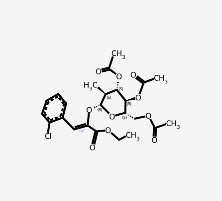 CCOC(=O)/C(=C/c1ccccc1Cl)O[C@H]1O[C@@H](COC(C)=O)[C@H](OC(C)=O)[C@@H](OC(C)=O)[C@@H]1C